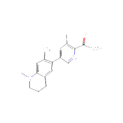 CNC(=O)c1ncc(-c2cc3c(cc2C#N)N(C)CCC3)cc1C